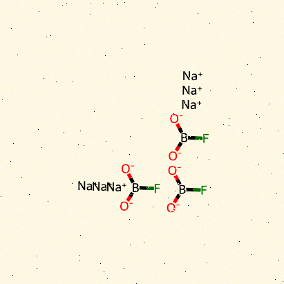 [Na+].[Na+].[Na+].[Na+].[Na+].[Na+].[O-]B([O-])F.[O-]B([O-])F.[O-]B([O-])F